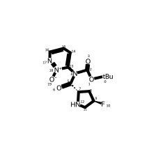 CC(C)(C)OC(=O)N(C(=O)[C@@H]1C[C@@H](F)CN1)c1cccn[n+]1[O-]